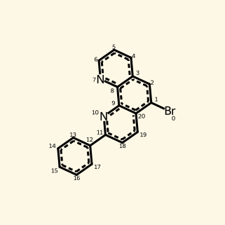 Brc1cc2cccnc2c2nc(-c3ccccc3)ccc12